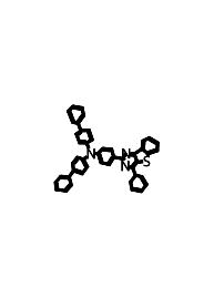 C1=CCC(c2nc(-c3ccc(N(c4ccc(-c5ccccc5)cc4)c4ccc(-c5ccccc5)cc4)cc3)nc3c2sc2ccccc23)C=C1